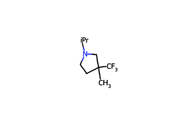 CC(C)N1CCC(C)(C(F)(F)F)C1